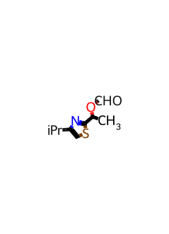 CC(C)c1csc(C(C)OC=O)n1